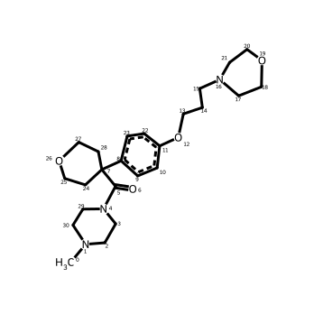 CN1CCN(C(=O)C2(c3ccc(OCCCN4CCOCC4)cc3)CCOCC2)CC1